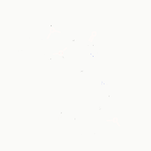 CCOc1ccc(Br)cc1CN1CCN(C(=O)C2COc3ccccc3O2)CC1